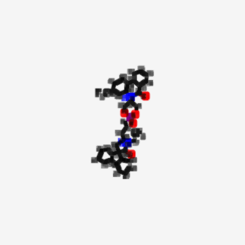 O=C(N[C@H]1CO[P@](=O)(CCCCCC2(C(=O)NCC(F)(F)F)c3ccccc3-c3ccccc32)OC1)c1ccccc1-c1ccc(C(F)(F)F)cc1